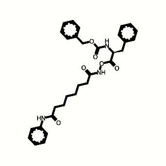 O=C(CCCCCCC(=O)Nc1ccccc1)NOC(=O)[C@H](Cc1ccccc1)NC(=O)OCc1ccccc1